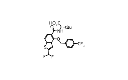 CC(C)(C)[C@H](NC(=O)C1=C(OCc2ccc(C(F)(F)F)cc2)C2C=C(C(F)F)SC2C=C1)C(=O)O